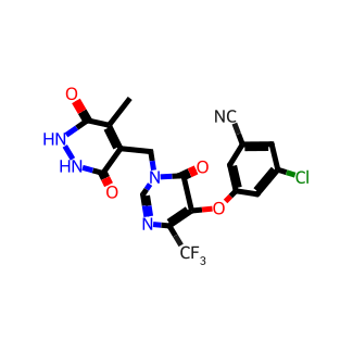 Cc1c(Cn2cnc(C(F)(F)F)c(Oc3cc(Cl)cc(C#N)c3)c2=O)c(=O)[nH][nH]c1=O